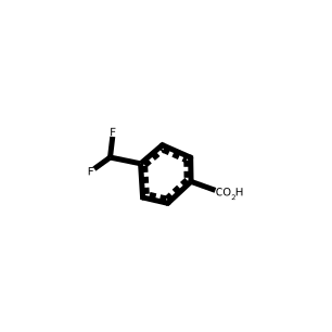 O=C(O)c1ccc([C](F)F)cc1